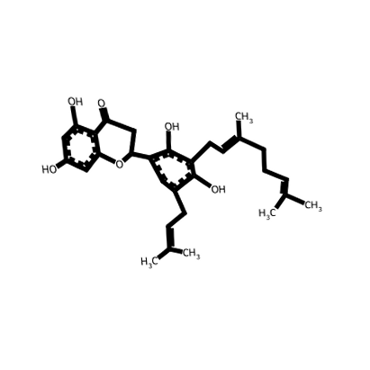 CC(C)=CCC/C(C)=C/Cc1c(O)c(CC=C(C)C)cc(C2CC(=O)c3c(O)cc(O)cc3O2)c1O